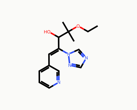 CCOC(C)(C)C(O)C(=Cc1cccnc1)n1cncn1